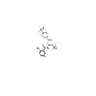 Cc1ccc(Br)c(C(=O)N2CCC(F)(F)CC2CNc2ccc(C(F)(F)F)cn2)n1